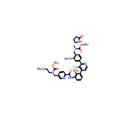 COCCN(Cc1ccc(C(=O)Nc2cccc(-c3ccnc(-c4ccc(CN(C[C@@H]5CCC(=O)N5)C(=O)OC(C)(C)C)c(OC)c4)c3Cl)c2C)nc1)C(=O)OC(C)(C)C